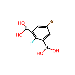 OB(O)c1cc(Br)cc(B(O)O)c1F